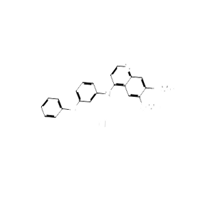 COc1cc2nccc(Nc3cccc(Oc4ccccc4)c3)c2cc1OC.Cl